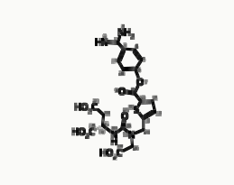 N=C(N)c1ccc(OC(=O)c2ccc(CN(CC(=O)O)C(=O)N[C@@H](CC(=O)O)C(=O)O)s2)cc1